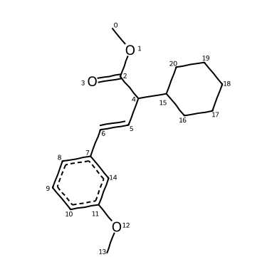 COC(=O)C(C=Cc1cccc(OC)c1)C1CCCCC1